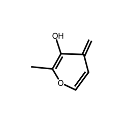 C=C1C=COC(C)=C1O